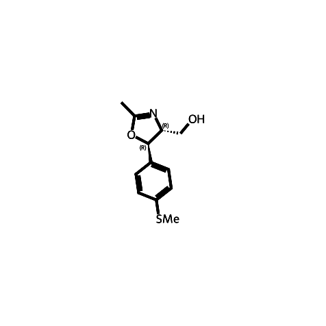 CSc1ccc([C@H]2OC(C)=N[C@@H]2CO)cc1